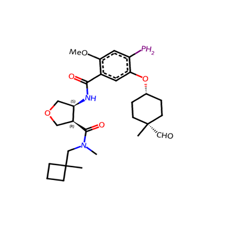 COc1cc(P)c(O[C@H]2CC[C@@](C)(C=O)CC2)cc1C(=O)N[C@@H]1COC[C@@H]1C(=O)N(C)CC1(C)CCC1